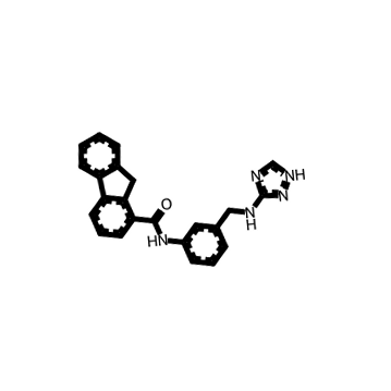 O=C(Nc1cccc(CNc2nc[nH]n2)c1)c1cccc2c1Cc1ccccc1-2